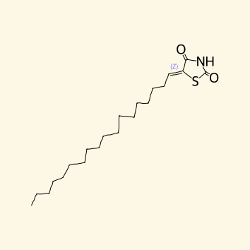 CCCCCCCCCCCCCCCCC/C=C1\SC(=O)NC1=O